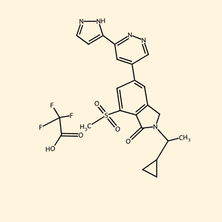 CC(C1CC1)N1Cc2cc(-c3cnnc(-c4ccn[nH]4)c3)cc(S(C)(=O)=O)c2C1=O.O=C(O)C(F)(F)F